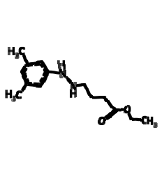 CCOC(=O)CCCNNc1cc(C)cc(C)c1